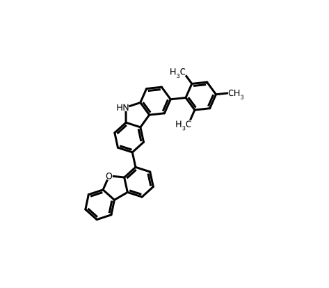 Cc1cc(C)c(-c2ccc3[nH]c4ccc(-c5cccc6c5oc5ccccc56)cc4c3c2)c(C)c1